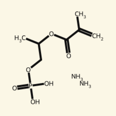 C=C(C)C(=O)OC(C)COP(=O)(O)O.N.N